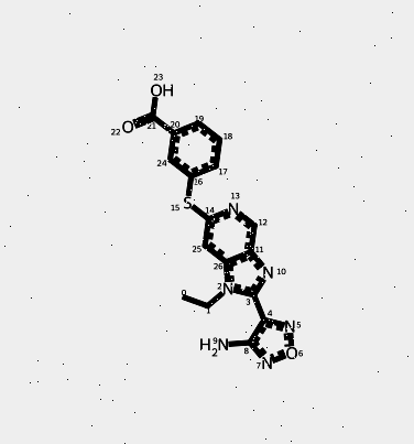 CCn1c(-c2nonc2N)nc2cnc(Sc3cccc(C(=O)O)c3)cc21